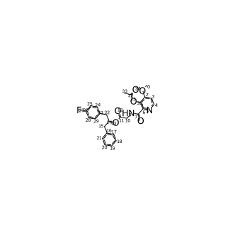 COc1ccnc(C(=O)NCC(=O)OC(Cc2ccccc2)Cc2ccc(F)cc2)c1OC(C)=O